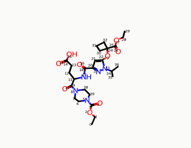 CCOC(=O)N1CCN(C(=O)C(CCC(=O)O)NC(=O)c2cc(OC3(C(=O)OCC)CCC3)n(C(C)C)n2)CC1